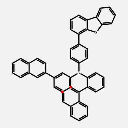 c1cc(-c2ccc3ccccc3c2)cc(N(c2ccc(-c3cccc4c3sc3ccccc34)cc2)c2ccccc2-c2cccc3ccccc23)c1